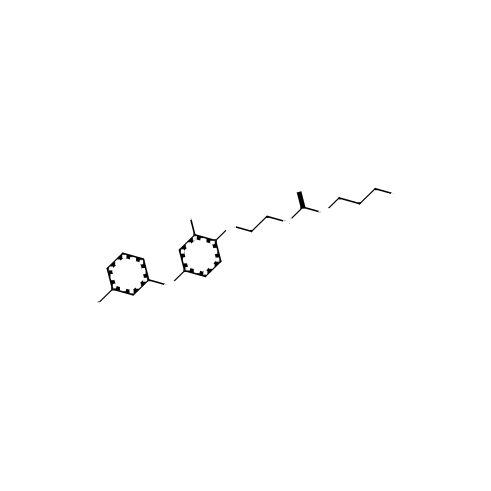 O=C(NCCOc1ccc(Oc2cccc(Cl)c2)cc1Cl)OCCCCl